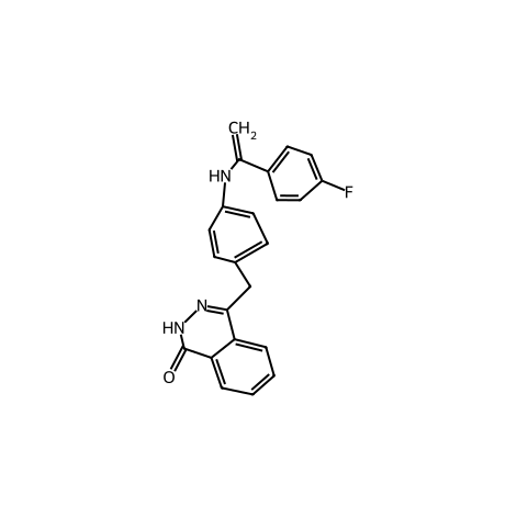 C=C(Nc1ccc(Cc2n[nH]c(=O)c3ccccc23)cc1)c1ccc(F)cc1